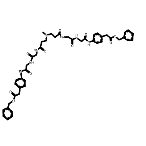 CN(CCC(=O)NCC(=O)NCC(=O)Nc1ccc(CC(=O)OCc2ccccc2)cc1)CCC(=O)NCC(=O)NCC(=O)Nc1ccc(CC(=O)OCc2ccccc2)cc1